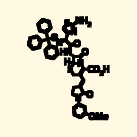 COc1cccc(N2CCC(=CC3=C(C(=O)O)N4C(=O)[C@@H](NC(=O)C(=NOC(c5ccccc5)(c5ccccc5)c5ccccc5)c5csc(N)n5)[C@H]4SC3)C2=O)c1